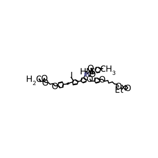 C=CC(=O)OCCCOc1ccc(C#Cc2ccc(-c3ccc(OCc4ccc(OCCCCCCOCC5(CC)COC5)cc4)c(/C=N/NS(=O)(=O)c4ccc(C)cc4)c3)cc2CI)cc1